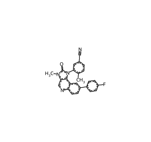 Cc1ccc(C#N)cc1-n1c(=O)n(C)c2cnc3ccc(-c4ccc(F)cc4)cc3c21